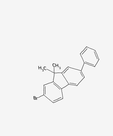 CC1(C)c2cc(Br)ccc2-c2ccc(-c3ccccc3)cc21